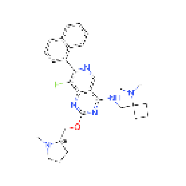 CN1CCC[C@H]1COc1nc(NCC2(N(C)C)CCC2)c2cnc(-c3cccc4ccccc34)c(F)c2n1